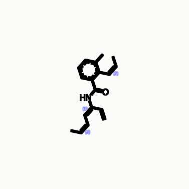 C=C/C(=C\C=C/C)NC(=O)c1cccc(C)c1/C=C\C